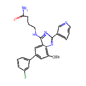 COc1cc(-c2cccc(F)c2)cc2c(NCCCC(N)=O)nc(-c3cccnc3)nc12